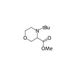 COC(=O)C1COCCN1C(C)(C)C